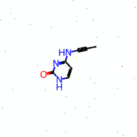 CC#CNc1cc[nH]c(=O)n1